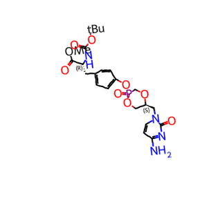 COC(=O)[C@@H](Cc1ccc(OP2(=O)CO[C@@H](Cn3ccc(N)nc3=O)CO2)cc1)NC(=O)OC(C)(C)C